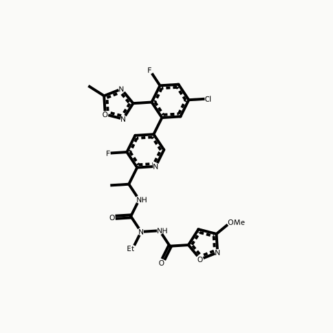 CCN(NC(=O)c1cc(OC)no1)C(=O)NC(C)c1ncc(-c2cc(Cl)cc(F)c2-c2noc(C)n2)cc1F